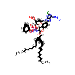 CCCCCCCCCC(CCCCCCCCC)COC(=O)[C@H](Cc1ccccc1)NP(=O)(OC[C@H]1O[C@@H](n2cnc3c(N)nc(F)nc32)C[C@@H]1O)Oc1ccccc1